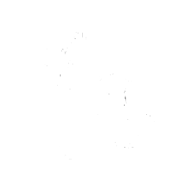 COC1(C)Nc2ccc(-c3c(C)nnn3C)cc2N1C(/C=C/C=C(\C)F)c1ccc(F)cn1